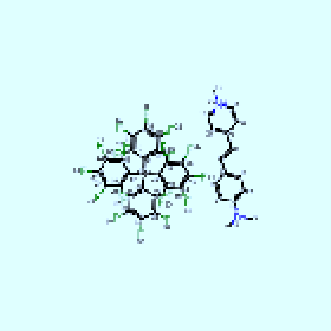 CN(C)c1ccc(C=Cc2cc[n+](C)cc2)cc1.Fc1c(F)c(F)c([B-](c2c(F)c(F)c(F)c(F)c2F)(c2c(F)c(F)c(F)c(F)c2F)c2c(F)c(F)c(F)c(F)c2F)c(F)c1F